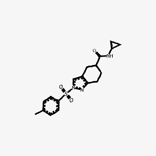 Cc1ccc(S(=O)(=O)n2cc3c(n2)CCC(C(=O)NC2CC2)C3)cc1